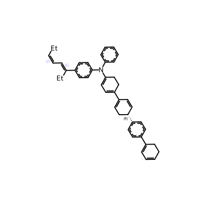 CC/C=C\C=C(/CC)c1ccc(N(C2=CC=C(C3=CC[C@@H](c4ccc(C5=CC=CCC5)cc4)C=C3)CC2)c2ccccc2)cc1